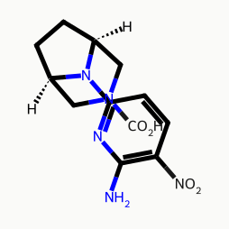 Nc1nc(N2[C@@H]3CC[C@H]2CN(C(=O)O)C3)ccc1[N+](=O)[O-]